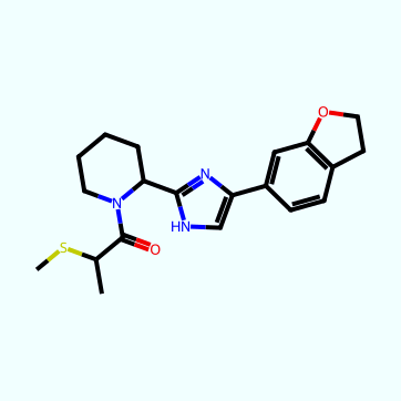 CSC(C)C(=O)N1CCCCC1c1nc(-c2ccc3c(c2)OCC3)c[nH]1